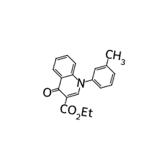 CCOC(=O)c1cn(-c2cccc(C)c2)c2ccccc2c1=O